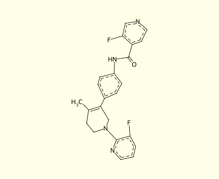 CC1=C(c2ccc(NC(=O)c3ccncc3F)cc2)CN(c2ncccc2F)CC1